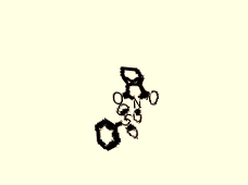 O=C1C2C3CCC(C3)C2C(=O)N1OS(=O)(=O)c1ccccc1